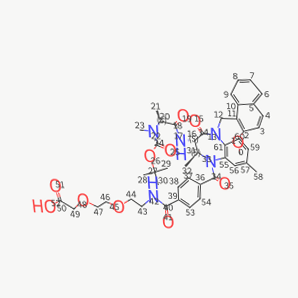 COc1ccc2ccccc2c1CN1C(=O)[C@@H](NC(=O)[C@H](C)N(C)C(=O)OC(C)(C)C)[C@H](C)N(C(=O)c2ccc(C(=O)NCCOCCOCC(=O)O)cc2)c2cc(C)ccc21